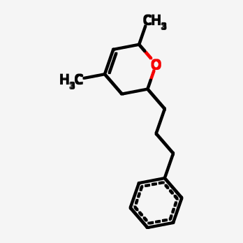 CC1=CC(C)OC(CCCc2ccccc2)C1